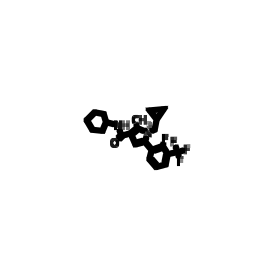 Cc1c(C(=O)NC2CCCCC2)cc(-c2cccc(C(F)(F)F)c2F)n1CC1CC1